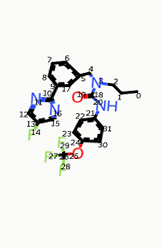 CCCN(Cc1cccc(-c2ncc(F)cn2)c1)C(=O)Nc1ccc(OC(F)(F)F)cc1